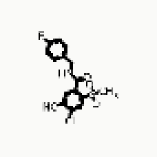 CS(=O)(=O)c1cc(Cl)c(C#N)cc1C(=O)NCc1ccc(F)cc1